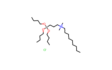 CCCCCCCCC[N+](C)(C)CCC[Si](OCCCC)(OCCCC)OCCCC.[Cl-]